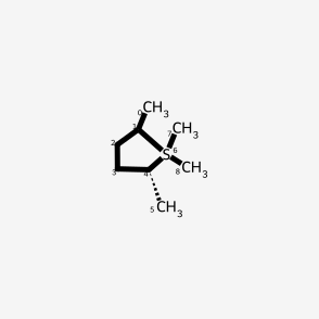 CC1CC[C@@H](C)S1(C)C